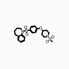 CS(=O)(=O)N1CCC(Oc2ccc(S(=O)(=O)N3CCCCc4ccccc43)cc2)CC1